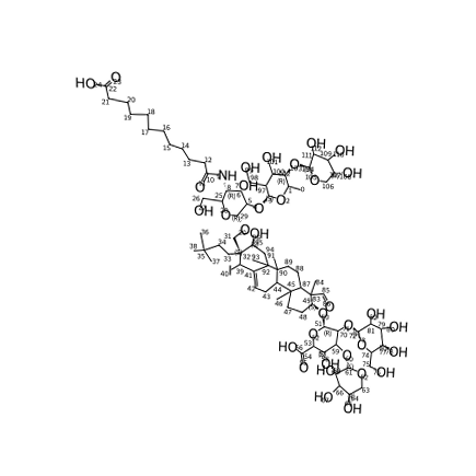 CC1O[C@@H](OC2C(O)[C@@H](NC(=O)CCCCCCCCCCC(=O)O)C(CO)O[C@H]2OC[C@]2(CCC(C)(C)C)C(I)C3=CCC4C5(C)CC[C@H](O[C@@H]6OC(C(=O)O)[C@@H](O)C(O[C@@H]7OC[C@@H](O)C(O)C7O)C6O[C@@H]6OC(CO)[C@H](O)C(O)C6O)C(C)(C=O)C5CCC4(C)C3(C)C[C@@H]2O)C(CO)C(O)[C@H]1O[C@@H]1OC[C@@H](O)C(O)C1O